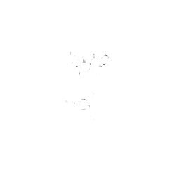 CCn1nccc1C(=O)N[C@@H](C)C(=O)N1CCC(CCc2c(N)nc(C)nc2Cl)CC1